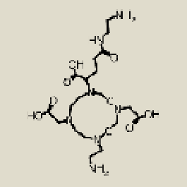 NCCNC(=O)CCC(C(=O)O)N1CCN(CC(=O)O)CCN(CCN)CCN(CC(=O)O)CC1